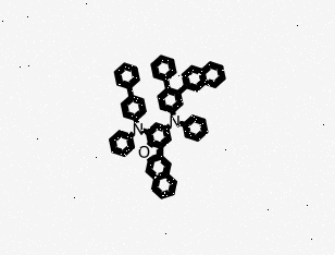 c1ccc(-c2ccc(N(c3ccccc3)c3cc(N(c4ccccc4)c4ccc(-c5ccccc5)c(-c5ccc6ccccc6c5)c4)cc4c3oc3cc5ccccc5cc34)cc2)cc1